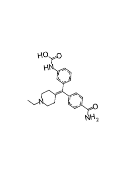 CCN1CCC(=C(c2ccc(C(N)=O)cc2)c2cccc(NC(=O)O)c2)CC1